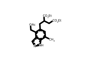 CCOC(=O)CC(Cc1cc(C)c2[nH]ncc2c1COC(C)=O)C(=O)OCC